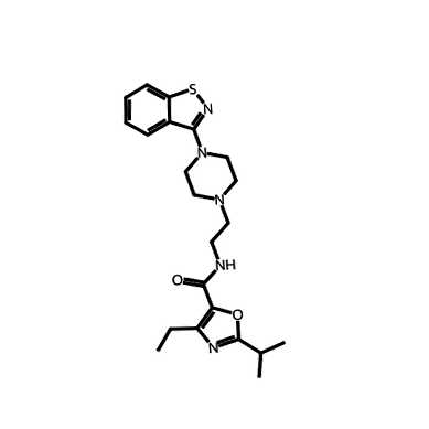 CCc1nc(C(C)C)oc1C(=O)NCCN1CCN(c2nsc3ccccc23)CC1